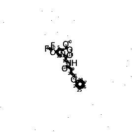 COC(=O)[C@@H]1C[C@@H](OC(F)F)CN1C(=O)CNC(=O)CCCOc1ccccc1